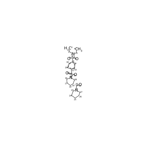 CCN(CC)S(=O)(=O)c1ccc(S(=O)(=O)N2CCC[C@@H](C(=O)N3CCCCC3)C2)cc1